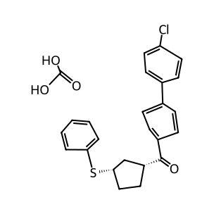 O=C(O)O.O=C(c1ccc(-c2ccc(Cl)cc2)cc1)[C@@H]1CC[C@H](Sc2ccccc2)C1